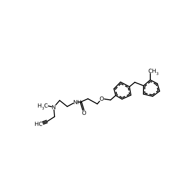 C#CCN(C)CCNC(=O)CCOCc1ccc(Cc2ccccc2C)cc1